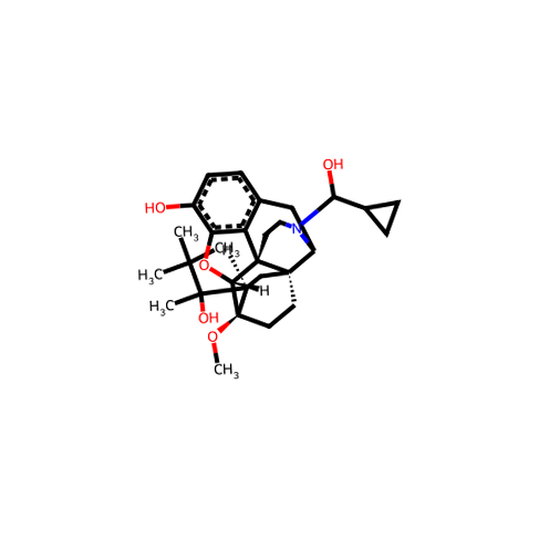 CO[C@]12CC[C@@]3(C[C@@H]1C(C)(O)C(C)(C)C)C1Cc4ccc(O)c5c4[C@@]3(CCN1C(O)C1CC1)[C@H]2O5